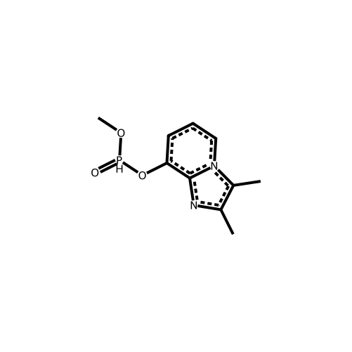 CO[PH](=O)Oc1cccn2c(C)c(C)nc12